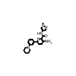 Cn1cc(NC(=O)c2nc(-c3cccc(N4CCCCC4)c3)ccc2N)cn1